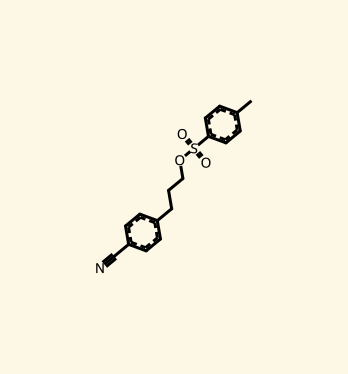 Cc1ccc(S(=O)(=O)OCCCc2ccc(C#N)cc2)cc1